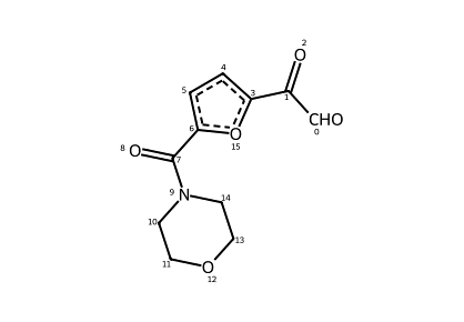 O=CC(=O)c1ccc(C(=O)N2CCOCC2)o1